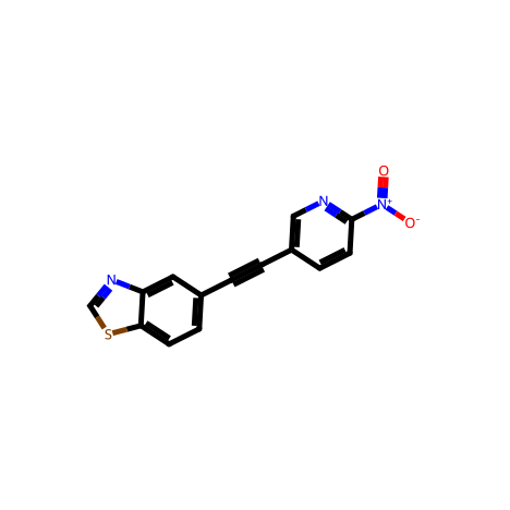 O=[N+]([O-])c1ccc(C#Cc2ccc3scnc3c2)cn1